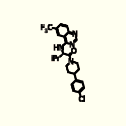 CC(C)[C@@H](Nc1ncnc2ccc(C(F)(F)F)cc12)C(=O)N1CCC(c2ccc(Cl)cc2)CC1